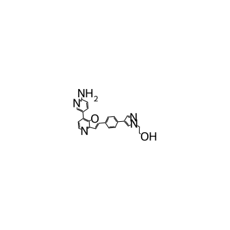 Nc1ccc(-c2ccnc3cc(-c4ccc(-c5cnn(CCO)c5)cc4)oc23)cn1